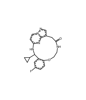 O=C1Cc2cnn3ccc(nc23)NC(C2CC2)c2cc(F)ccc2OCCN1